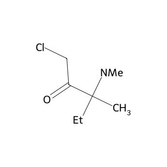 CCC(C)(NC)C(=O)CCl